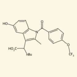 CCCCC(C(=O)O)c1c(C)n(C(=O)c2ccc(OC(F)(F)F)cc2)c2ccc(O)cc12